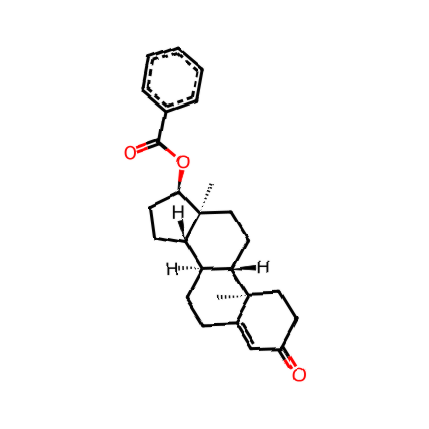 C[C@]12CC[C@H]3[C@@H](CCC4=CC(=O)CC[C@@]43C)[C@@H]1CC[C@H]2OC(=O)c1ccccc1